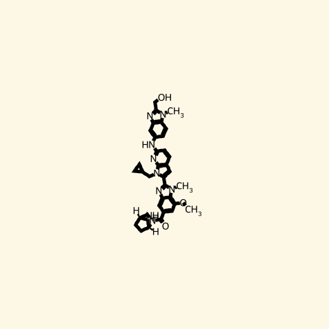 COc1cc(C(=O)N2C[C@H]3CC[C@@H]2[C@@H]3N)cc2nc(-c3cc4ccc(Nc5ccc6c(c5)nc(CO)n6C)nc4n3CC3CC3)n(C)c12